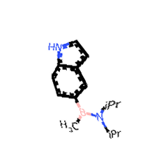 CB(c1ccc2[nH]ccc2c1)N(C(C)C)C(C)C